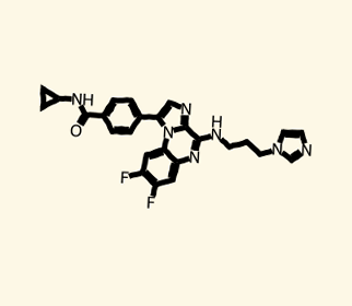 O=C(NC1CC1)c1ccc(-c2cnc3c(NCCCn4ccnc4)nc4cc(F)c(F)cc4n23)cc1